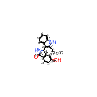 CCCC(C)Cc1[nH]c2ccccc2c1C1NC(=O)c2ccc(O)cc21